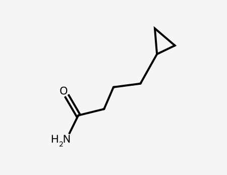 NC(=O)CCCC1CC1